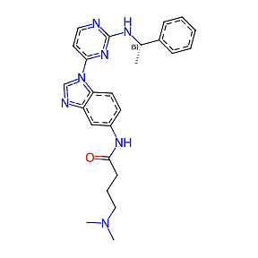 C[C@H](Nc1nccc(-n2cnc3cc(NC(=O)CCCN(C)C)ccc32)n1)c1ccccc1